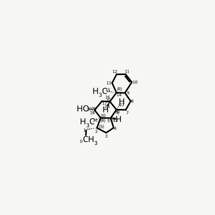 CC[C@H]1CC[C@H]2[C@@H]3CCC4C=CCC[C@]4(C)[C@H]3C[C@@H](O)[C@]12C